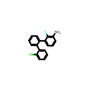 O=[N+]([O-])c1cccc(-c2ccccc2-c2ccccc2Cl)c1F